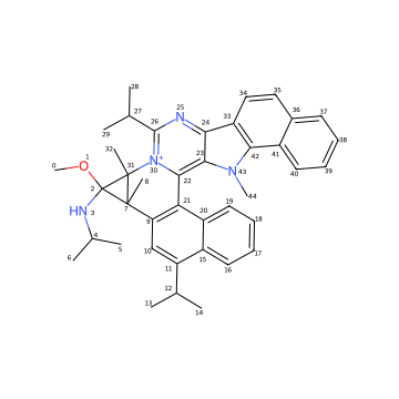 COC1(NC(C)C)C2(C)c3cc(C(C)C)c4ccccc4c3-c3c4c(nc(C(C)C)[n+]3C12C)c1ccc2ccccc2c1n4C